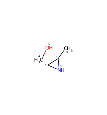 CC1CN1.CO